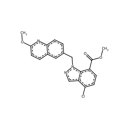 COC(=O)c1ccc(Cl)c2cnn(Cc3ccc4nc(OC)ccc4c3)c12